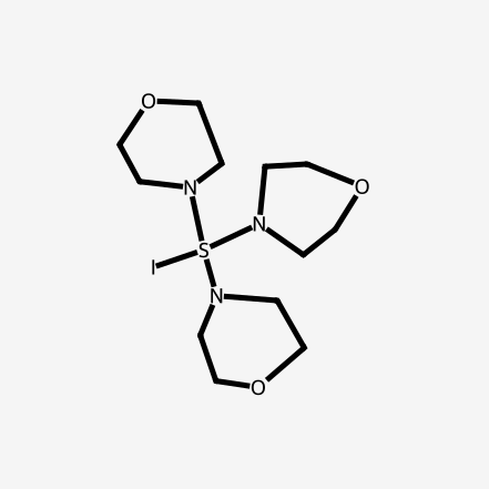 IS(N1CCOCC1)(N1CCOCC1)N1CCOCC1